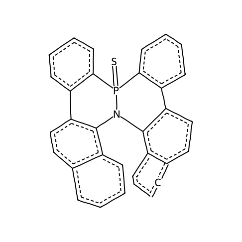 S=P12c3ccccc3-c3ccc4ccccc4c3N1c1c(ccc3ccccc13)-c1ccccc12